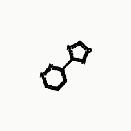 c1cnnc(-c2ncon2)c1